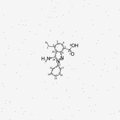 CCc1ccc(C(=O)O)c2nn(-c3ccccc3)c(N)c12